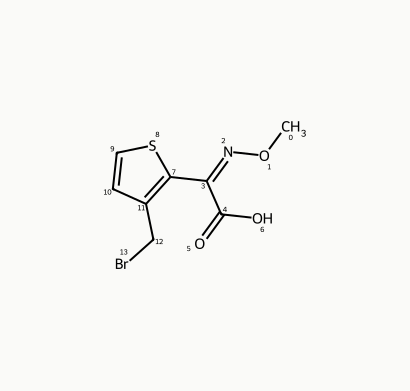 CO/N=C(\C(=O)O)c1sccc1CBr